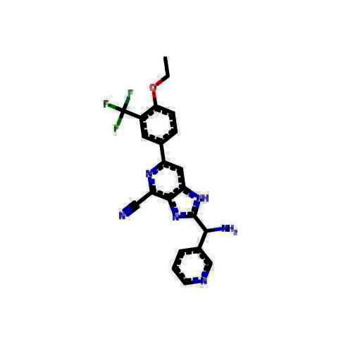 CCOc1ccc(-c2cc3[nH]c(C(N)c4cccnc4)nc3c(C#N)n2)cc1C(F)(F)F